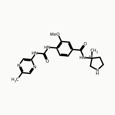 COc1cc(C(=O)N[C@]2(C)CCNC2)ccc1NC(=O)Nc1cnc(C)cn1